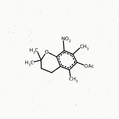 CC(=O)Oc1c(C)c2c(c([N+](=O)[O-])c1C)OC(C)(C)CC2